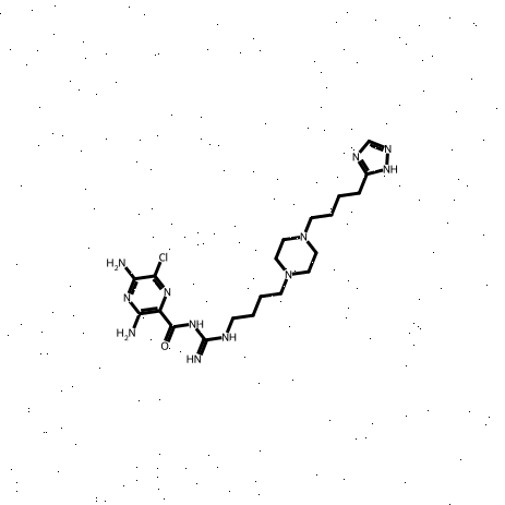 N=C(NCCCCN1CCN(CCCCc2ncn[nH]2)CC1)NC(=O)c1nc(Cl)c(N)nc1N